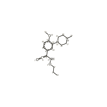 CCCONC(=C=O)c1ccc(OC)c(N2CCN(C)CC2)c1